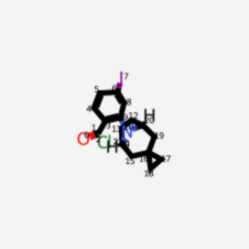 O=C(Cl)c1ccc(I)cc1N1[C@@H]2CC[C@H]1CC1(CC1)C2